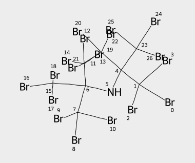 BrC(Br)(Br)C(NC(C(Br)(Br)Br)(C(Br)(Br)Br)C(Br)(Br)Br)(C(Br)(Br)Br)C(Br)(Br)Br